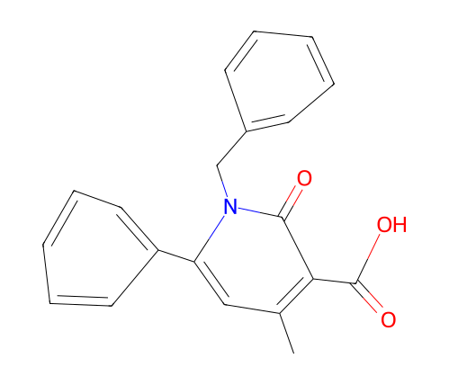 Cc1cc(-c2ccccc2)n(Cc2ccccc2)c(=O)c1C(=O)O